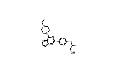 CCN1CCN(c2nc(-c3ccc(OC(C)CO)cc3)cc3ccsc23)CC1